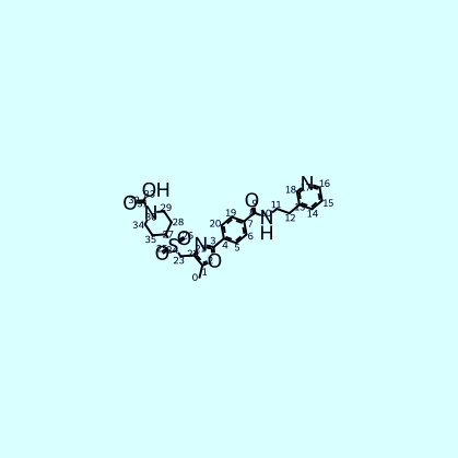 Cc1oc(-c2ccc(C(=O)NCCc3cccnc3)cc2)nc1CS(=O)(=O)C1CCN(C(=O)O)CC1